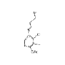 CC(=O)Oc1ccc(SCCCBr)c(Cl)c1C